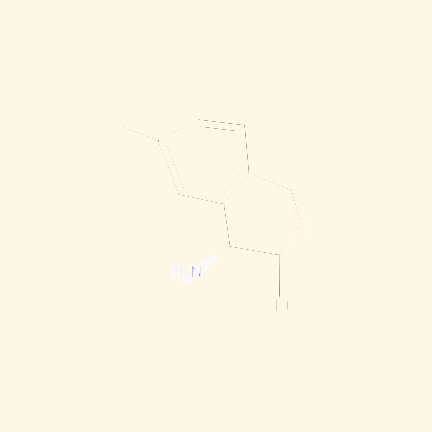 CCC1OCc2ccc(C)cc2[C@H]1N